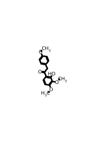 COc1ccc(CC(=O)c2ccc(OC)c(OC)c2O)cc1